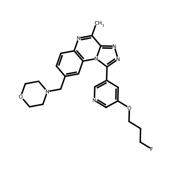 Cc1nc2ccc(CN3CCOCC3)cc2n2c(-c3cncc(OCCCF)c3)nnc12